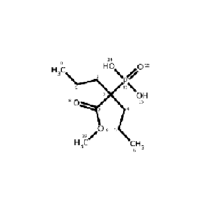 CCCC(CCC)(C(=O)OC)P(=O)(O)O